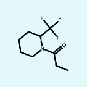 CCC(=O)N1CCCCC1C(F)(F)F